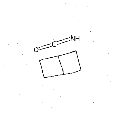 C1CC2CCC12.N=C=O